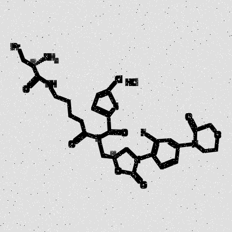 CC(C)C[C@H](N)C(=O)NCCCCC(=O)N(C[C@H]1CN(c2ccc(N3CCOCC3=O)cc2F)C(=O)O1)C(=O)c1ccc(Cl)s1.Cl